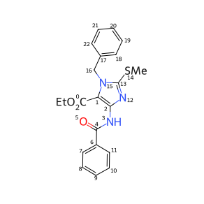 CCOC(=O)c1c(NC(=O)c2ccccc2)nc(SC)n1Cc1ccccc1